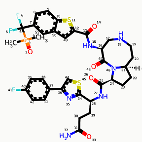 CP(C)(=O)C(F)(F)c1ccc2sc(C(=O)N[C@H]3CNCC[C@H]4CC[C@@H](C(=O)N[C@@H](CCC(N)=O)c5nc(-c6ccc(F)cc6)cs5)N4C3=O)cc2c1